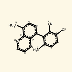 N#Cc1c(Cl)ccc(N)c1-c1ccc(C(=O)O)c2ncccc12